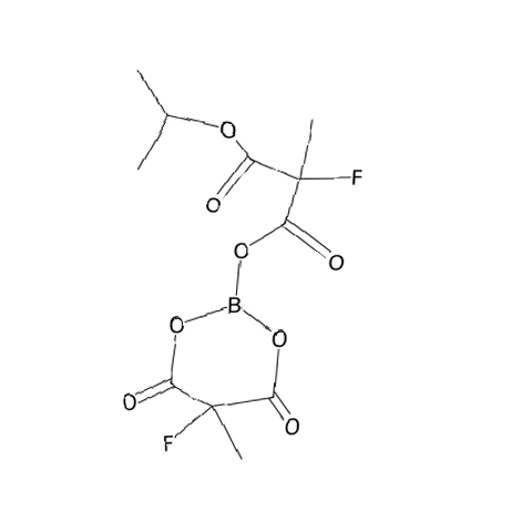 CC(C)OC(=O)C(C)(F)C(=O)OB1OC(=O)C(C)(F)C(=O)O1